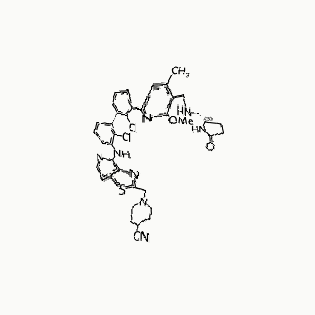 COc1nc(-c2cccc(-c3cccc(Nc4nccc5sc(CN6CCC(C#N)CC6)nc45)c3Cl)c2Cl)cc(C)c1CNC[C@@H]1CCC(=O)N1